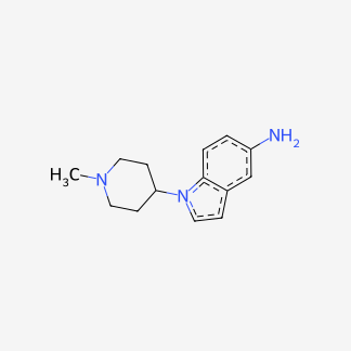 CN1CCC(n2ccc3cc(N)ccc32)CC1